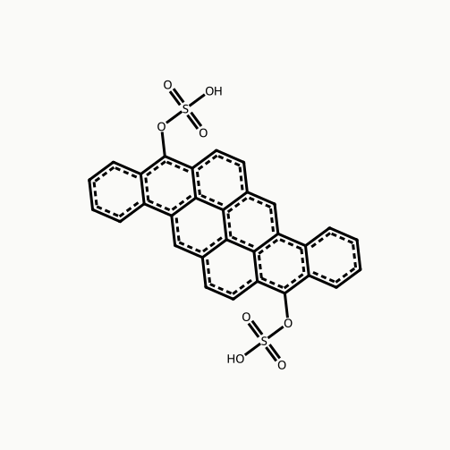 O=S(=O)(O)Oc1c2ccccc2c2cc3ccc4c(OS(=O)(=O)O)c5ccccc5c5cc6ccc1c2c6c3c45